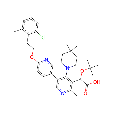 Cc1cccc(Cl)c1CCOc1ccc(-c2cnc(C)c(C(OC(C)(C)C)C(=O)O)c2N2CCC(C)(C)CC2)cn1